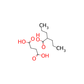 CCCC(CCC)C(=O)O.O=C(O)CCC(=O)O